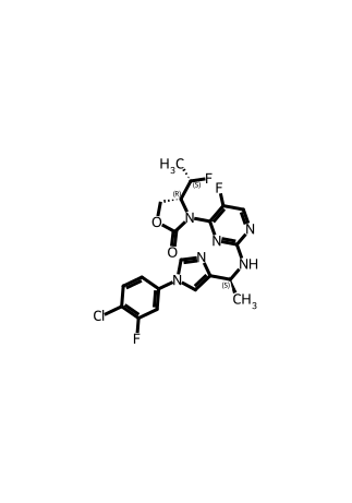 C[C@H](Nc1ncc(F)c(N2C(=O)OC[C@@H]2[C@H](C)F)n1)c1cn(-c2ccc(Cl)c(F)c2)cn1